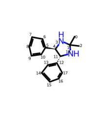 CC1(C)N[C@H](c2ccccc2)[C@@H](c2ccccc2)N1